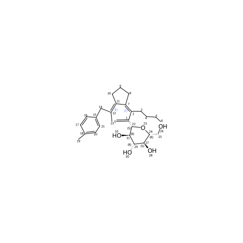 C=C(/C(CCCC)=C1/CCC/C1=C(/C)Cc1ccc(C)cc1)[C@@H]1O[C@H](CO)[C@@H](O)[C@H](O)[C@H]1O